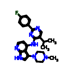 CC(C)c1cnc(-c2ccc(F)cc2)nc1Nc1ccnc2[nH]cc(N3CCN(C)CC3)c12